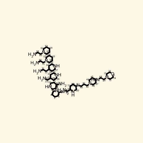 NC1CCCCN1.NC1CCNCC1.NCC1CCCCN1.NCC1CCNCC1.NCCC1CCNCC1.NCCCN1CCCCC1.NCCN1CCCCC1.NCCN1CCCCC1.NCCN1CCOCC1